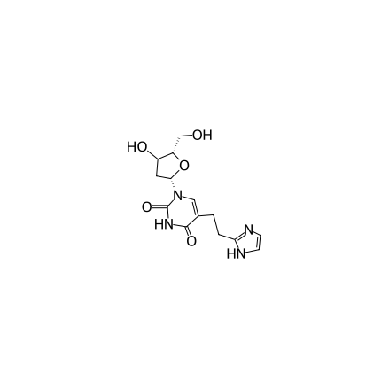 O=c1[nH]c(=O)n([C@@H]2CC(O)[C@H](CO)O2)cc1CCc1ncc[nH]1